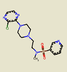 CN(CCN1CCN(c2nccnc2Cl)CC1)S(=O)(=O)c1cccnc1